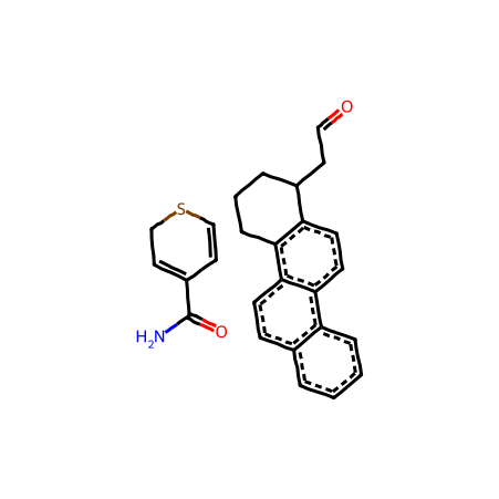 NC(=O)C1=CCSC=C1.O=CCC1CCCc2c1ccc1c2ccc2ccccc21